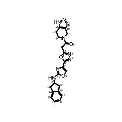 O=C(Cc1nnc(-c2coc(NC3Cc4ccccc4C3)n2)o1)N1CCc2[nH]nnc2C1